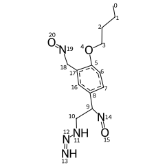 CCCCOc1ccc(C(CNN=N)N=O)cc1CN=O